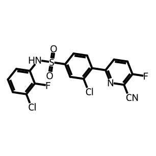 N#Cc1nc(-c2ccc(S(=O)(=O)Nc3cccc(Cl)c3F)cc2Cl)ccc1F